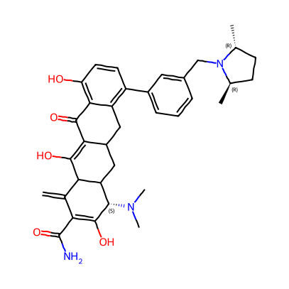 C=C1C(C(N)=O)=C(O)[C@@H](N(C)C)C2CC3Cc4c(-c5cccc(CN6[C@H](C)CC[C@H]6C)c5)ccc(O)c4C(=O)C3=C(O)C12